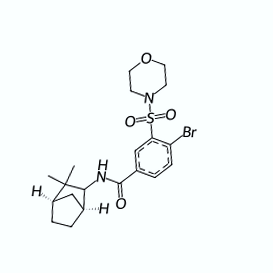 CC1(C)C(NC(=O)c2ccc(Br)c(S(=O)(=O)N3CCOCC3)c2)[C@H]2CC[C@@H]1C2